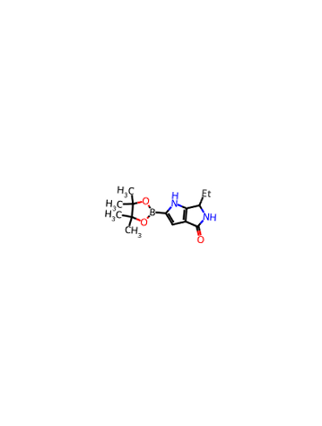 CCC1NC(=O)c2cc(B3OC(C)(C)C(C)(C)O3)[nH]c21